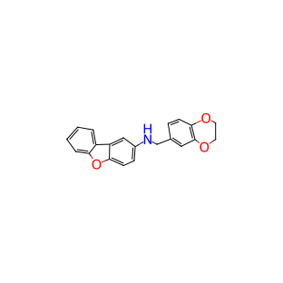 c1ccc2c(c1)oc1ccc(NCc3ccc4c(c3)OCCO4)cc12